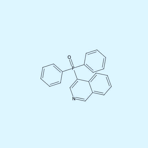 O=P(c1ccccc1)(c1ccccc1)c1cncc2ccccc12